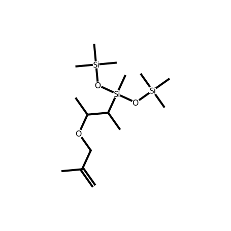 C=C(C)COC(C)C(C)[Si](C)(O[Si](C)(C)C)O[Si](C)(C)C